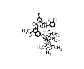 CCC(=O)OC(OP(=O)(COc1ccc2c(C(C)=O)cn(CC(=O)N3C[C@H](F)C[C@H]3C(=O)NCc3cccc(Cl)c3F)c2c1)OC(OC(=O)O)C(C)C)C(C)C